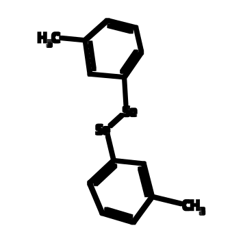 Cc1cccc([Se][Se]c2cccc(C)c2)c1